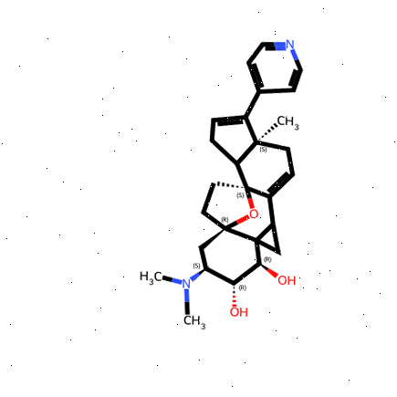 CN(C)[C@H]1C[C@@]23CC[C@@]4(O2)C(=CC[C@]2(C)C(c5ccncc5)=CCC24)C2CC23[C@@H](O)[C@@H]1O